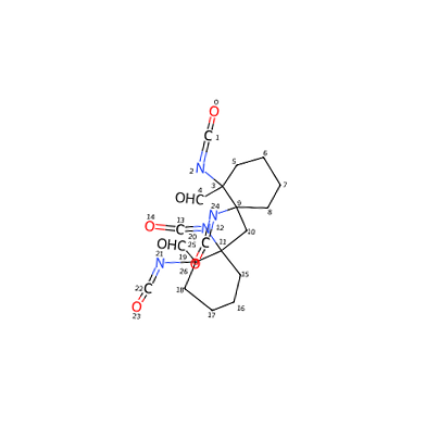 O=C=NC1(C=O)CCCCC1(CC1(N=C=O)CCCCC1(C=O)N=C=O)N=C=O